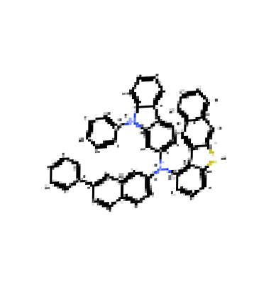 c1ccc(-c2ccc3ccc(N(c4ccc5c6ccccc6n(-c6ccccc6)c5c4)c4cccc5sc6cc7ccccc7cc6c45)cc3c2)cc1